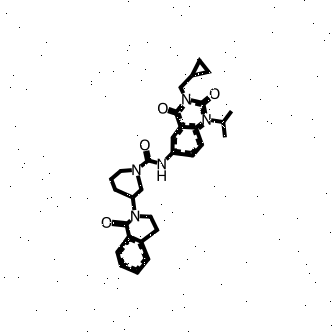 CC(C)n1c(=O)n(CC2CC2)c(=O)c2cc(NC(=O)N3CCCC(N4CCc5ccccc5C4=O)C3)ccc21